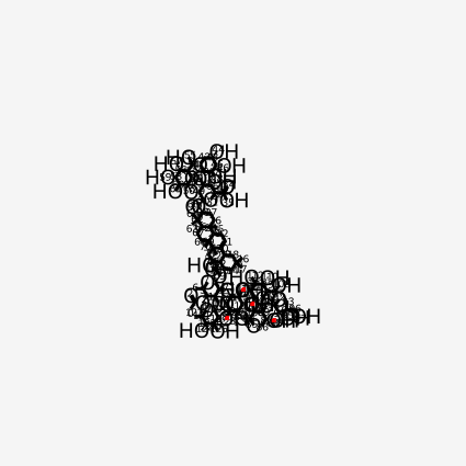 CC(=O)O[C@H]1C(C)O[C@@H](OC(=O)[C@]23CCC(C)(C)CC2C2=CCC4C5(C)CC[C@H](O[C@@H]6OC(C(=O)O)[C@@H](O)C(O[C@@H]7OC[C@@H](O)C(O)C7O)C6O[C@@H]6OC(CO)[C@H](O)C(O)C6O)C(C)(C=O)C5CCC4(C)C2(C)CC3O)C(O[C@@H]2OC(C)[C@H](O[C@@H]3OC[C@@H](O)C(O[C@@H]4OCC(O)(CO)C4O)C3O)C(O[C@@H]3OC(CO)[C@@H](O)C(O)C3O)C2O)C1O[C@@H]1OC(C)[C@H](O)C(O)C1O